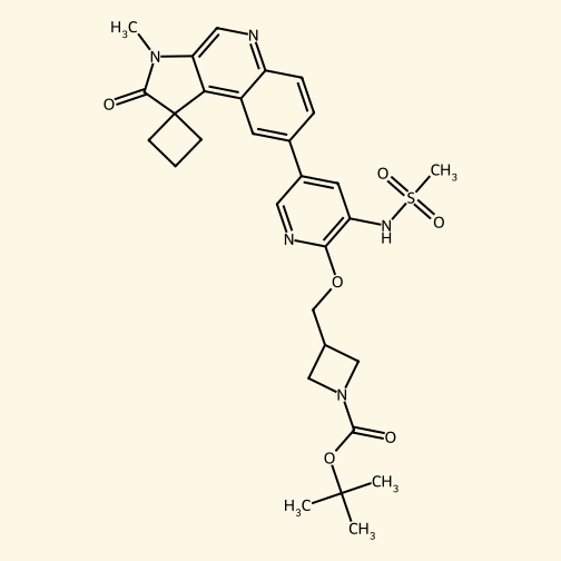 CN1C(=O)C2(CCC2)c2c1cnc1ccc(-c3cnc(OCC4CN(C(=O)OC(C)(C)C)C4)c(NS(C)(=O)=O)c3)cc21